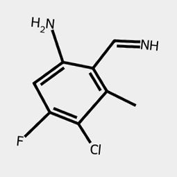 Cc1c(Cl)c(F)cc(N)c1C=N